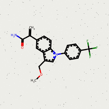 C=C(C(N)=O)c1ccc2c(c1)c(COC)cn2-c1ccc(C(F)(F)F)cc1